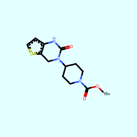 CC(C)(C)OC(=O)N1CCC(N2Cc3sccc3NC2=O)CC1